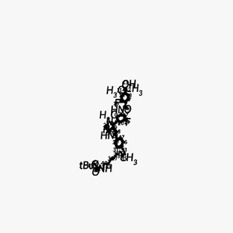 Cc1c(NC(=O)c2ccc(C(C)(C)O)cc2F)cc(F)cc1-c1ncnc2[nH]c(-c3ccc(CN(C)CCCCCNC(=O)OC(C)(C)C)cc3)cc12